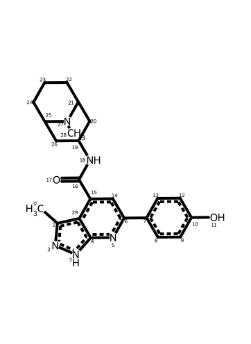 Cc1n[nH]c2nc(-c3ccc(O)cc3)cc(C(=O)NC3CC4CCCC(C3)N4C)c12